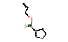 C=CCOC(=S)C1=CCCC1